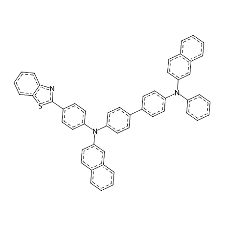 c1ccc(N(c2ccc(-c3ccc(N(c4ccc(-c5nc6ccccc6s5)cc4)c4ccc5ccccc5c4)cc3)cc2)c2ccc3ccccc3c2)cc1